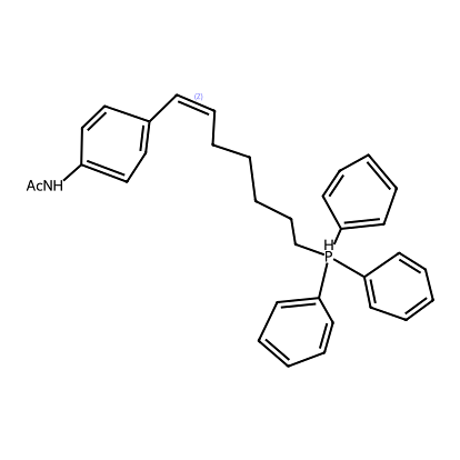 CC(=O)Nc1ccc(/C=C\CCCCC[PH](c2ccccc2)(c2ccccc2)c2ccccc2)cc1